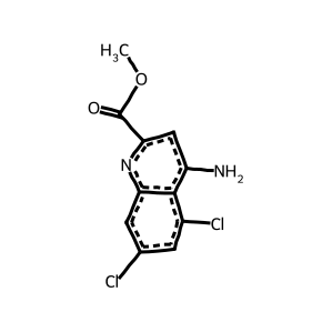 COC(=O)c1cc(N)c2c(Cl)cc(Cl)cc2n1